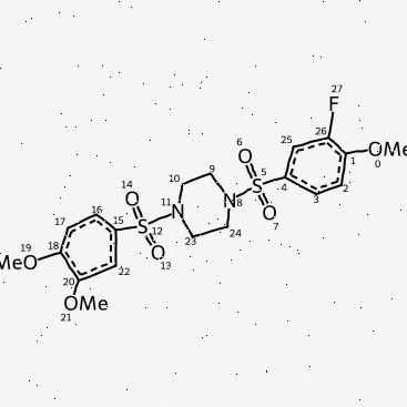 COc1ccc(S(=O)(=O)N2CCN(S(=O)(=O)c3ccc(OC)c(OC)c3)CC2)cc1F